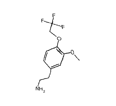 COc1cc(CCN)ccc1OCC(F)(F)F